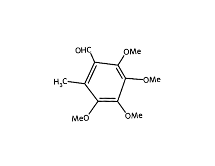 COc1c(C)c(C=O)c(OC)c(OC)c1OC